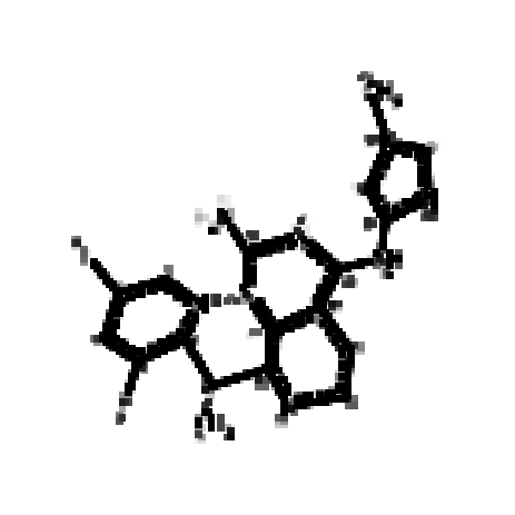 C[C@H](c1ncc(F)cc1F)c1nccc2c(Nc3cn(C)cn3)nc(N)nc12